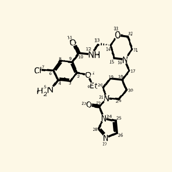 CCOc1cc(N)c(Cl)cc1C(=O)NC[C@H]1CN(CC2CCN(C(=O)n3ccnc3)CC2)CCO1